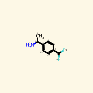 C[C@H](N)c1ccc(C(F)F)cc1